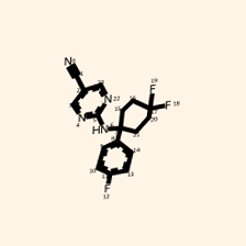 N#Cc1cnc(NC2(c3ccc(F)cc3)CCC(F)(F)CC2)nc1